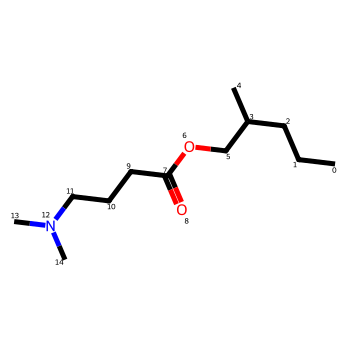 CCCC(C)COC(=O)CCCN(C)C